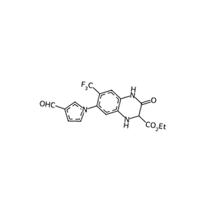 CCOC(=O)C1Nc2cc(-n3ccc(C=O)c3)c(C(F)(F)F)cc2NC1=O